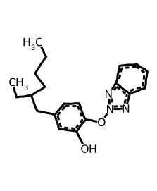 CCCCC(CC)Cc1ccc(On2nc3ccccc3n2)c(O)c1